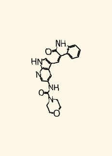 NC(=O)C(=Cc1c[nH]c2ncc(NC(=O)N3CCOCC3)cc12)c1ccccc1